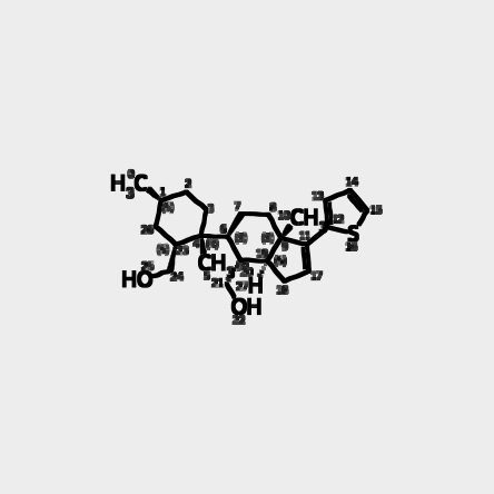 C[C@H]1CC[C@](C)([C@H]2CC[C@]3(C)C(c4cccs4)=CC[C@H]3[C@@H]2CO)[C@@H](CO)C1